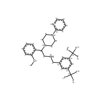 COc1ccccc1C(CNCc1cc(C(F)(F)F)cc(C(F)(F)F)c1)N1CCN(c2ccccn2)CC1